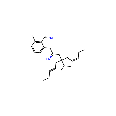 CC/C=C\CC(C/C=C/CC)(CC(=N)Cc1cccc(C)c1C=N)C(C)C